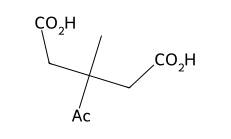 CC(=O)C(C)(CC(=O)O)CC(=O)O